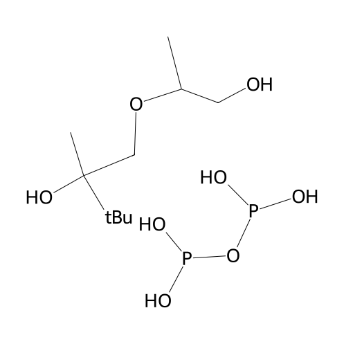 CC(CO)OCC(C)(O)C(C)(C)C.OP(O)OP(O)O